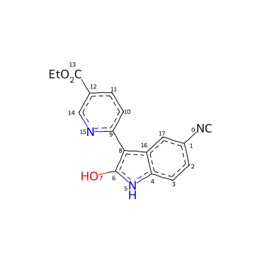 [C-]#[N+]c1ccc2[nH]c(O)c(-c3ccc(C(=O)OCC)cn3)c2c1